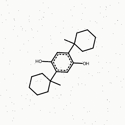 CC1(c2cc(O)c(C3(C)CCCCC3)cc2O)CCCCC1